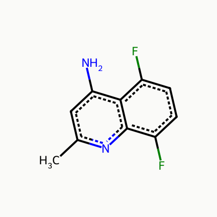 Cc1cc(N)c2c(F)ccc(F)c2n1